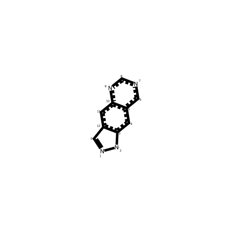 C1=N[N]c2cc3cncnc3cc21